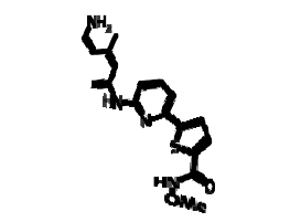 C=C(/C=C(C)\C=C/N)Nc1cccc(-c2ccc(C(=O)NOC)s2)n1